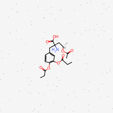 CCC(=O)Oc1ccc(CC(N)(C[C@H](C)OC(C)=O)C(=O)O)cc1OC(=O)CC